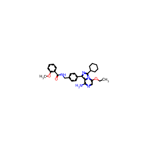 CCOc1cnc(N)c2c(-c3ccc(CNC(=O)c4ccccc4OC)cc3)nc(C3CCCCC3)n12